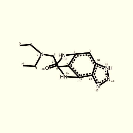 CCN(CC)CCc1c2cc3[nH]nnc3c1NC(=O)N2